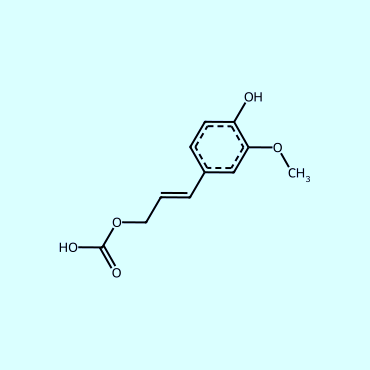 COc1cc(/C=C/COC(=O)O)ccc1O